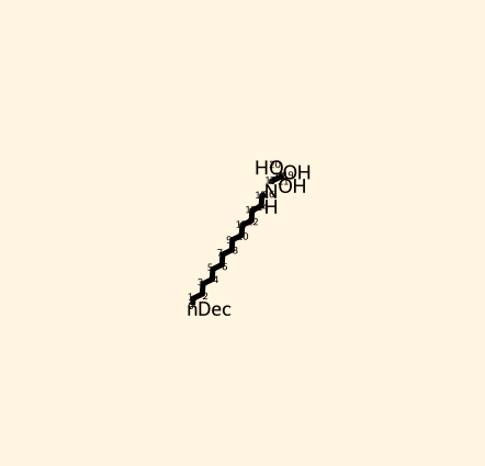 CCCCCCCCCCCCCCCCCCCCCCCCCNCC(O)(O)O